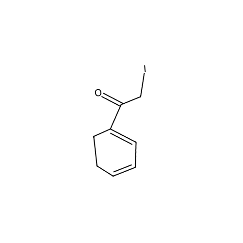 O=C(CI)C1=CC=CCC1